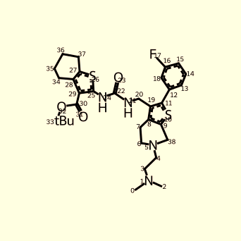 CN(C)CCN1CCc2c(sc(-c3cccc(F)c3)c2CNC(=O)Nc2sc3c(c2C(=O)OC(C)(C)C)CCCC3)C1